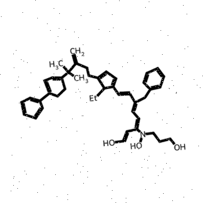 C=C(CCC1=CC=C(/C=C/C(=C/C=C(\C=C\O)N(O)CCCO)Cc2ccccc2)C1CC)C(C)(C)C1=CC=C(c2ccccc2)CC1